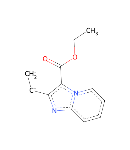 [CH2-][CH+]c1nc2ccccn2c1C(=O)OCC